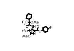 COc1nc(C(=O)Oc2ccc(F)cc2)c(NC(=O)C(OC)(c2ccccc2)C(F)(F)F)n1C(C)(C)C